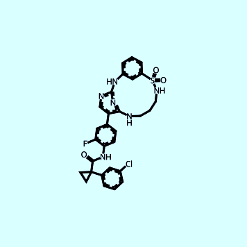 O=C(Nc1ccc(-c2cnc3nc2NCCCNS(=O)(=O)c2cccc(c2)N3)cc1F)C1(c2cccc(Cl)c2)CC1